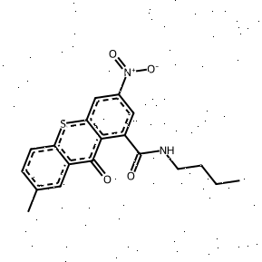 CCCCNC(=O)c1cc([N+](=O)[O-])cc2sc3ccc(C)cc3c(=O)c12